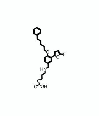 O=[PH](O)OCCCNCc1ccc(OCCCCCc2ccccc2)c(-c2ccc(F)o2)c1